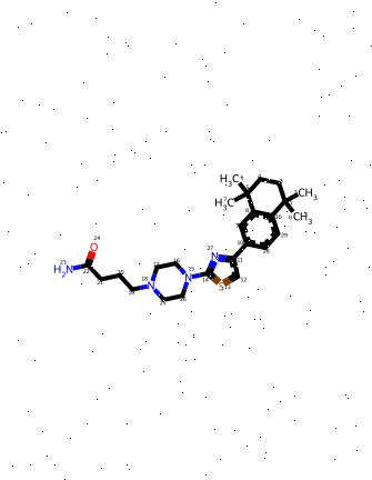 CC1(C)CCC(C)(C)c2cc(-c3csc(N4CCN(CCCC(N)=O)CC4)n3)ccc21